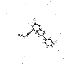 OCC#Cc1cc(Cl)cc2nc(-c3cccc(Cl)c3)oc12